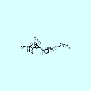 CCn1c(=C(C#N)C(=O)NCC#N)sc(=CNc2cccc(NC(=O)COCCOC)c2)c1=O